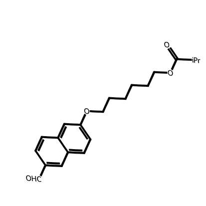 CC(C)C(=O)OCCCCCCOc1ccc2cc(C=O)ccc2c1